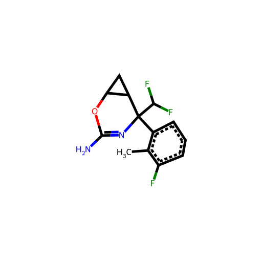 Cc1c(F)cccc1C1(C(F)F)N=C(N)OC2CC21